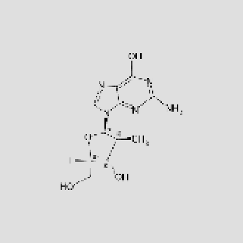 C[C@@H]1[C@H](n2cnc3c(O)nc(N)nc32)O[C@](F)(CO)[C@H]1O